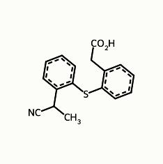 CC(C#N)c1ccccc1Sc1ccccc1CC(=O)O